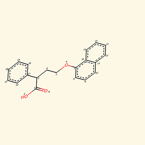 O=C(O)C(CCOc1cccc2ccccc12)c1ccccc1